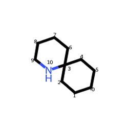 [CH]1CCC2(CC1)CCCCN2